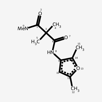 CNC(=O)C(C)(C)C(=O)Nc1cc(C)oc1C